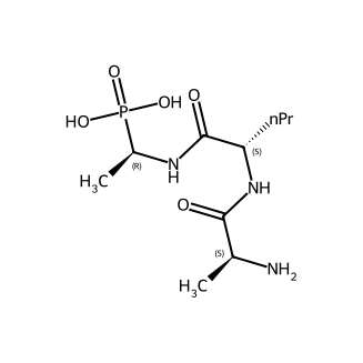 CCC[C@H](NC(=O)[C@H](C)N)C(=O)N[C@@H](C)P(=O)(O)O